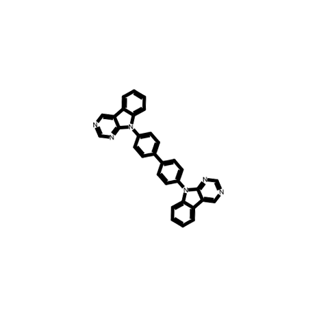 c1ccc2c(c1)c1cncnc1n2-c1ccc(-c2ccc(-n3c4ccccc4c4cncnc43)cc2)cc1